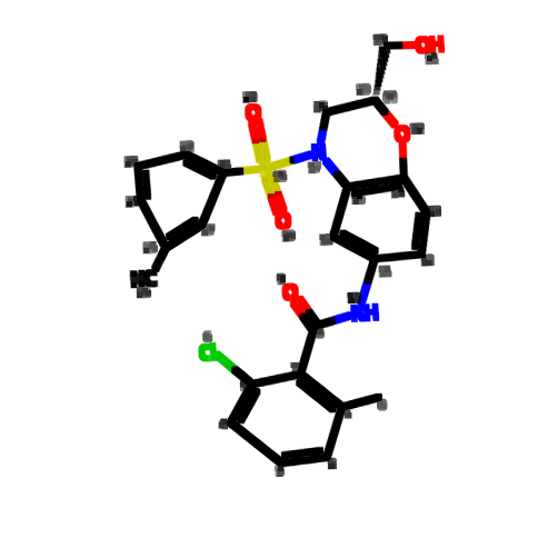 Cc1cccc(Cl)c1C(=O)Nc1ccc2c(c1)N(S(=O)(=O)c1cccc(C#N)c1)C[C@H](CO)O2